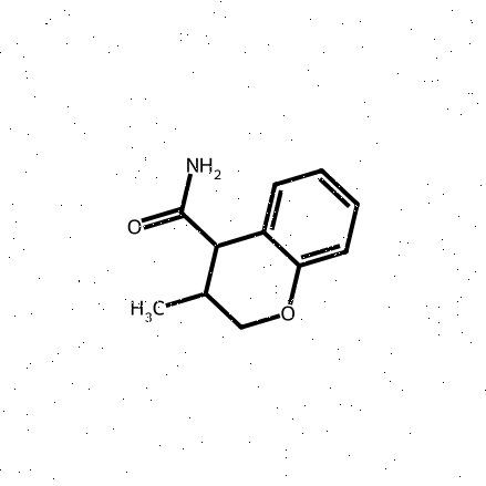 CC1COc2ccccc2C1C(N)=O